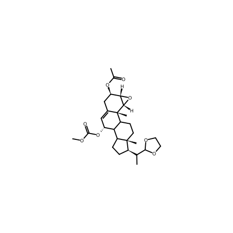 COC(=O)O[C@@H]1C=C2C[C@@H](OC(C)=O)[C@@H]3O[C@@H]3[C@]2(C)C2CC[C@@]3(C)C(CC[C@@H]3C(C)C3OCCO3)C21